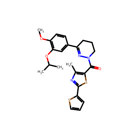 COc1ccc(C2=NN(C(=O)c3sc(-c4cccs4)nc3C)CCC2)cc1OC(C)C